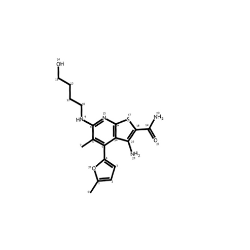 Cc1ccc(-c2c(C)c(NCCCCO)nc3sc(C(N)=O)c(N)c23)o1